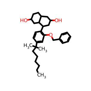 CCCCCCC(C)(C)c1ccc(C2CC(O)CC3CCC(O)CC32)c(OCc2ccccc2)c1